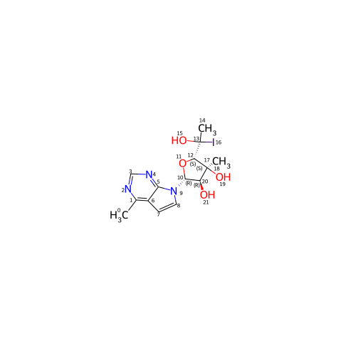 Cc1ncnc2c1ccn2[C@@H]1O[C@H](C(C)(O)I)[C@@](C)(O)[C@H]1O